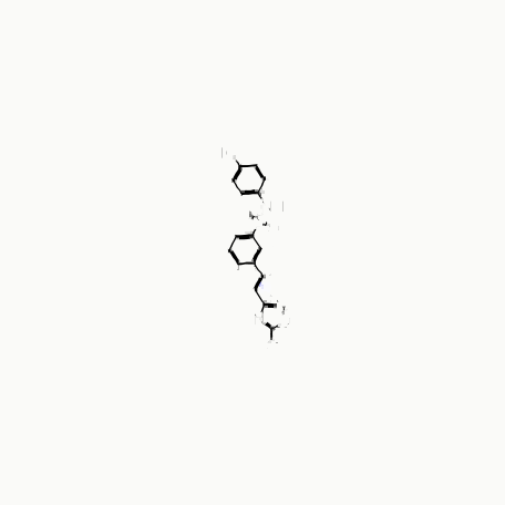 O=S(=O)(Nc1ccc(O)cc1)c1cccc(/C=C/c2noc(C(F)(F)F)n2)c1